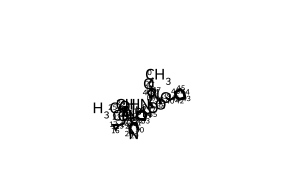 CCO[C@@H]1C[C@H](C(=O)Nc2cc([C@@](CCC3CC3)(NS(=O)(=O)C(C)(C)C)c3ccncc3)ccc2F)N(C(=O)OCc2ccccc2)C1